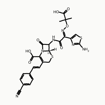 CC(C)(ON=C(C(=O)NC1C(=O)N2C(C(=O)O)=C(C=Cc3ccc(C#N)cc3)CS[C@@H]12)c1csc(N)n1)C(=O)O